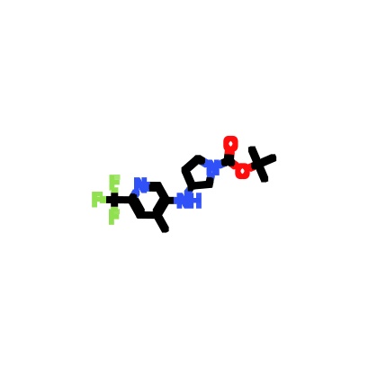 Cc1cc(C(F)(F)F)ncc1N[C@H]1CCN(C(=O)OC(C)(C)C)C1